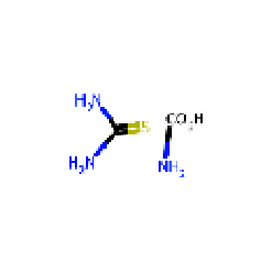 NC(=O)O.NC(N)=S